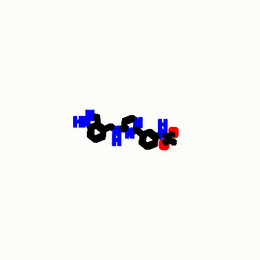 CS(=O)(=O)Nc1cccc(-c2nccc(NCc3cccc4[nH]ncc34)n2)c1